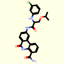 CC(C)OCC(Nc1cccc(Cl)c1)C(=O)Nc1ccc2c(=O)[nH]c3c(C(N)=O)cccc3c2c1